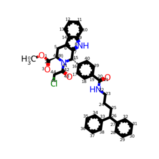 COC(=O)[C@H]1Cc2c([nH]c3ccccc23)[C@H](c2ccc(C(=O)NCCCC(c3ccccc3)c3ccccc3)cc2)N1C(=O)CCl